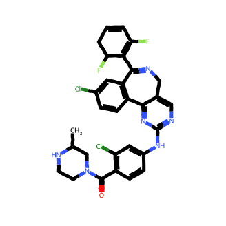 CC1CN(C(=O)c2ccc(Nc3ncc4c(n3)-c3ccc(Cl)cc3C(C3=C(F)C=CCC3F)=NC4)cc2Cl)CCN1